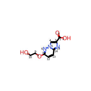 O=C(O)c1cn2nc(OCCO)ccc2n1